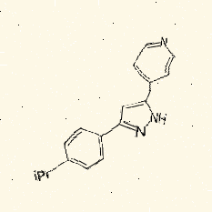 CC(C)c1ccc(-c2cc(-c3ccncc3)[nH]n2)cc1